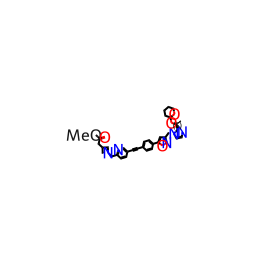 COC(=O)CC1CN(Cc2ccc(C#Cc3ccc(-c4cc(Cn5ccnc5[C@H](C)OC5CCCCO5)no4)cc3)cn2)C1